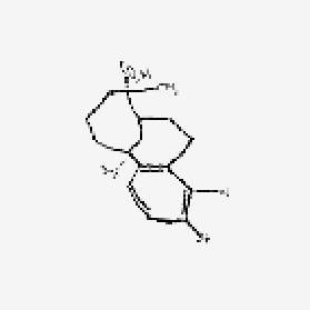 CC(C)c1ccc2c(c1I)CCC1[C@](C)(C(=O)O)CCC[C@]21C